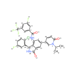 CC(C)n1cc(-c2cc(NC(=O)c3cc(F)cc(C(F)(F)F)c3)c3c(c2)C(=O)N[C@H]3c2cc(F)ccc2Cl)ccc1=O